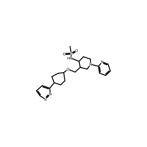 CS(=O)(=O)NC1CCN(c2ccccn2)CC1COC1CCC(c2cccnn2)CC1